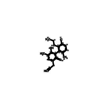 C#CCn1nc(C)c(O)c(-c2c(C)ccc(Cl)c2OCC)c1=O